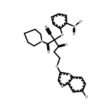 N#CC(Oc1ccccc1[N+](=O)[O-])(C(=O)CCOc1cnc2cc(Cl)ccc2n1)C(=O)N1CCCCC1